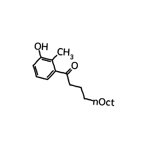 CCCCCCCCCCCC(=O)c1cccc(O)c1C